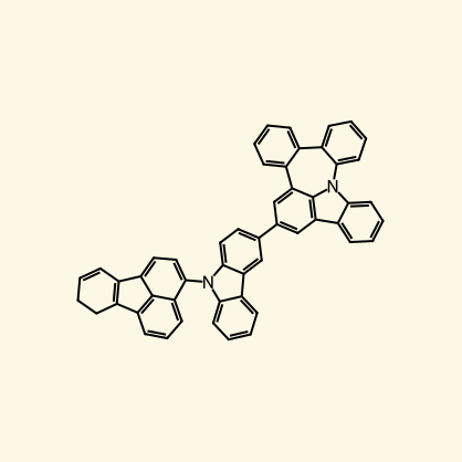 C1=CC2=C(CC1)c1cccc3c(-n4c5ccccc5c5cc(-c6cc7c8c(c6)c6ccccc6n8-c6ccccc6-c6ccccc6-7)ccc54)ccc2c13